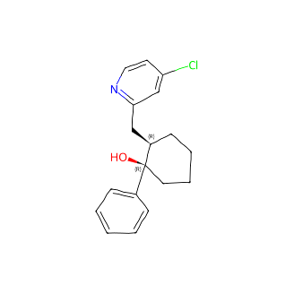 O[C@]1(c2ccccc2)CCCC[C@@H]1Cc1cc(Cl)ccn1